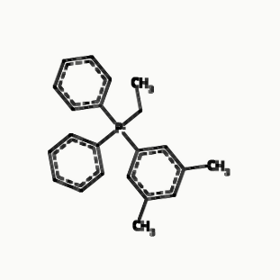 CC[P](c1ccccc1)(c1ccccc1)c1cc(C)cc(C)c1